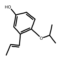 CC=Cc1cc(O)ccc1OC(C)C